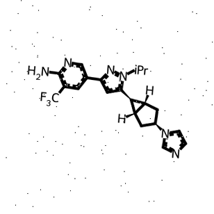 CC(C)n1nc(-c2cnc(N)c(C(F)(F)F)c2)cc1[C@H]1[C@@H]2C[C@@H](n3ccnc3)C[C@@H]21